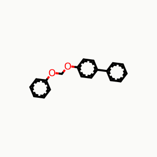 c1ccc(OCOc2ccc(-c3ccccc3)cc2)cc1